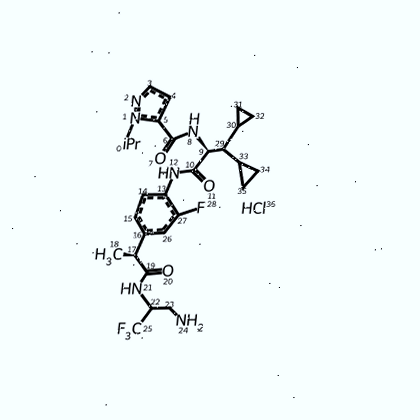 CC(C)n1nccc1C(=O)N[C@H](C(=O)Nc1ccc([C@H](C)C(=O)NC(CN)C(F)(F)F)cc1F)C(C1CC1)C1CC1.Cl